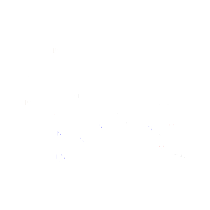 CCOC(=O)C1CC2(CCN(c3cc(O[C@H](c4cc(Br)ccc4Br)C(F)(F)F)nc(N)n3)CC2)CN1C(=O)OC(C)(C)C